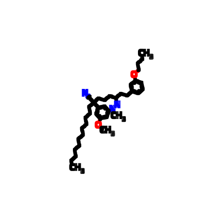 CCCCCCCCCCCCC(C#N)(CCCC(CCc1cccc(OCCCC)c1)N=NC)c1cccc(OC)c1